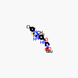 Cn1c(Nc2nc3ccc(Cl)cc3s2)nc2cc(C(=O)N[C@H]3CCN(C(=O)OC(C)(C)C)C3)ccc21